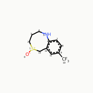 [O-][S+]1CCCNc2ccc(C(F)(F)F)cc2C1